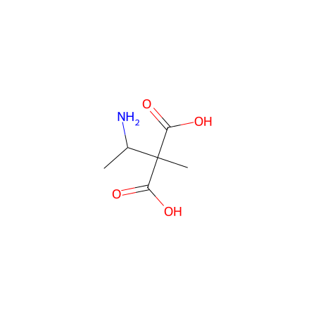 CC(N)C(C)(C(=O)O)C(=O)O